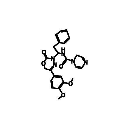 COc1ccc(C2=NN(C(Cc3ccccc3)NC(=O)N3C=CN=CC3)C(=O)OC2)cc1OC